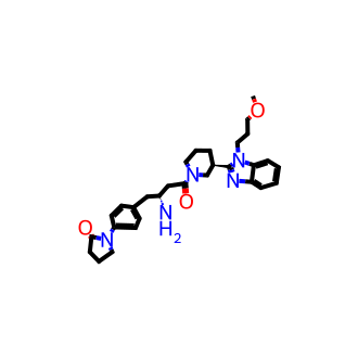 COCCCn1c([C@@H]2CCCN(C(=O)C[C@H](N)Cc3ccc(N4CCCC4=O)cc3)C2)nc2ccccc21